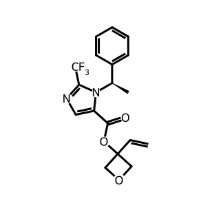 C=CC1(OC(=O)c2cnc(C(F)(F)F)n2[C@H](C)c2ccccc2)COC1